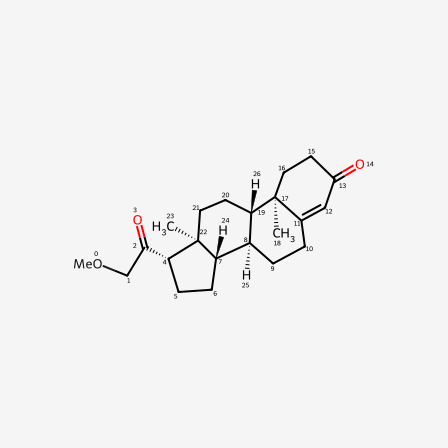 COCC(=O)[C@H]1CC[C@H]2[C@@H]3CCC4=CC(=O)CC[C@]4(C)[C@H]3CC[C@]12C